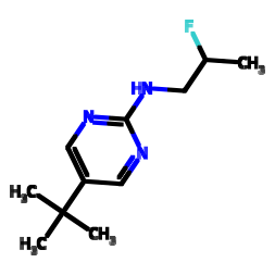 CC(F)CNc1ncc(C(C)(C)C)cn1